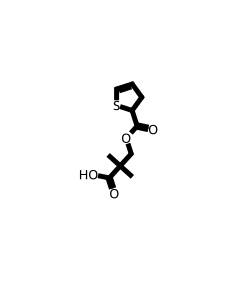 CC(C)(COC(=O)C1CC=CS1)C(=O)O